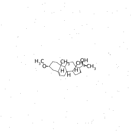 CO[C@H]1CC[C@@]2(C)C(=CC[C@H]3[C@@H]4CC[C@H]([C@H](C)O)[C@@]4(C)CC[C@@H]32)C1